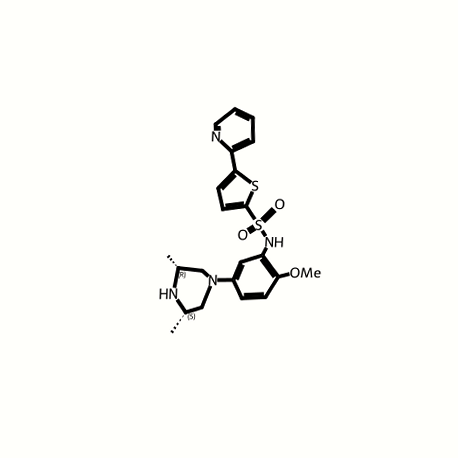 COc1ccc(N2C[C@@H](C)N[C@@H](C)C2)cc1NS(=O)(=O)c1ccc(-c2ccccn2)s1